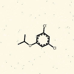 CC(C)Oc1[c]c(Cl)cc(Cl)c1